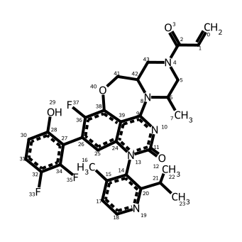 C=CC(=O)N1CC(C)N2c3nc(=O)n(-c4c(C)ccnc4C(C)C)c4cc(-c5c(O)ccc(F)c5F)c(F)c(c34)OCC2C1